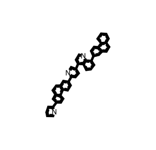 c1ccc(-c2ccc3c(ccc4cc(-c5ccc(-c6ccnc7c(-c8ccc9c(ccc%10ccccc%109)c8)cccc67)cn5)ccc43)c2)nc1